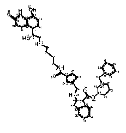 O=C(NCCCCNC[C@H](O)c1ccc(O)c2[nH]c(=O)ccc12)c1ccc(CNC2Cc3ccccc3C2C(=O)O[C@@H]2CCCN(Cc3ccccc3)C2)s1